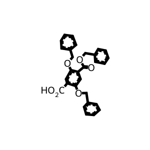 O=C(O)c1cc(OCc2ccccc2)c(C(=O)OCc2ccccc2)cc1OCc1ccccc1